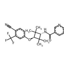 CC1(C)[C@H](NC(=O)c2cccnc2)C(C)(C)[C@H]1Oc1ccc(C#N)c(C(F)(F)F)c1